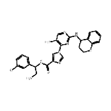 Cc1cnc(NC2CCOc3ccccc32)nc1-n1cnc(C(=O)NC(CN)c2cccc(Cl)c2)c1